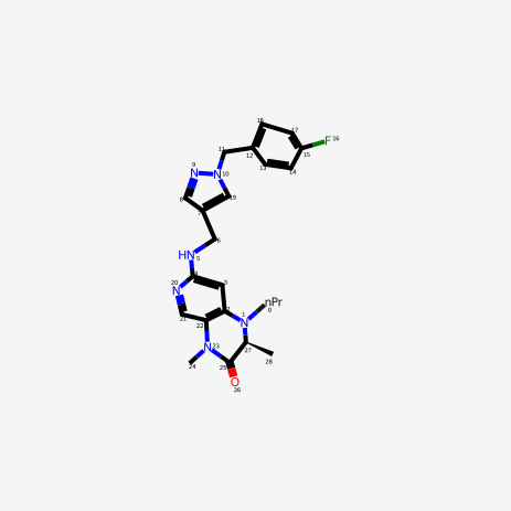 CCCN1c2cc(NCc3cnn(Cc4ccc(F)cc4)c3)ncc2N(C)C(=O)[C@@H]1C